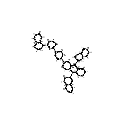 c1cc(-c2ccc(-c3ccc4c(-c5ccc6ccccc6c5)c5ccccc5c(-c5ccc6ccccc6c5)c4c3)cc2)nc(-c2cccc3ccccc23)c1